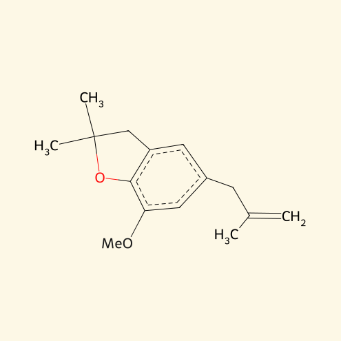 C=C(C)Cc1cc2c(c(OC)c1)OC(C)(C)C2